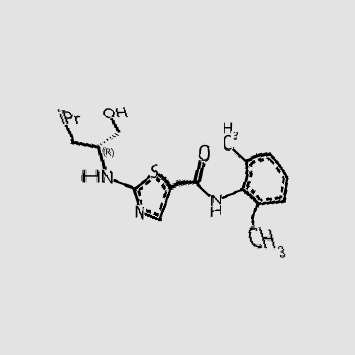 Cc1cccc(C)c1NC(=O)c1cnc(N[C@@H](CO)CC(C)C)s1